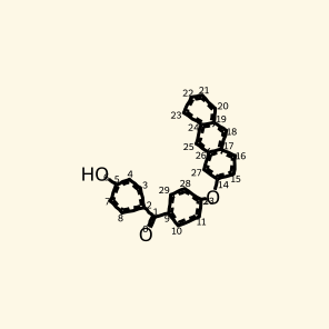 O=C(c1ccc(O)cc1)c1ccc(Oc2ccc3cc4ccccc4cc3c2)cc1